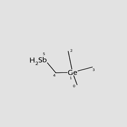 [CH3][Ge]([CH3])([CH3])[CH2][SbH2]